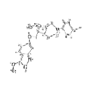 CCOc1onc2cc(OCCC3CCN(c4ccc(C)nn4)CC3)ccc12.O=S(=O)(O)O